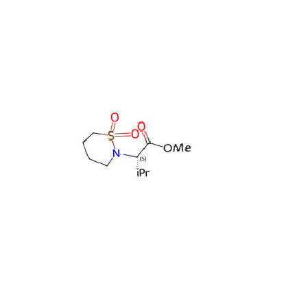 COC(=O)[C@H](C(C)C)N1CCCCS1(=O)=O